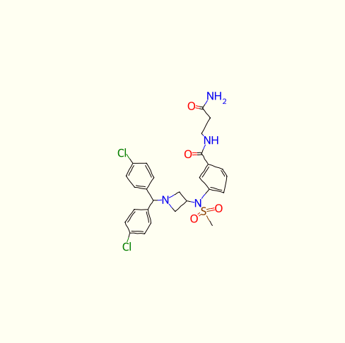 CS(=O)(=O)N(c1cccc(C(=O)NCCC(N)=O)c1)C1CN(C(c2ccc(Cl)cc2)c2ccc(Cl)cc2)C1